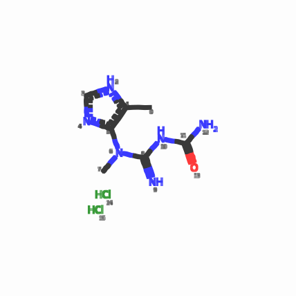 Cc1[nH]cnc1N(C)C(=N)NC(N)=O.Cl.Cl